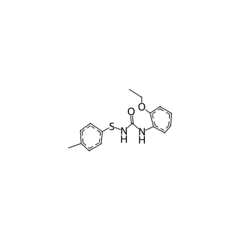 CCOc1ccccc1NC(=O)NSc1ccc(C)cc1